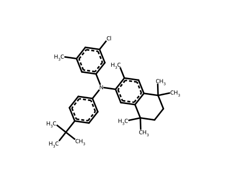 Cc1cc(Cl)cc(N(c2ccc(C(C)(C)C)cc2)c2cc3c(cc2C)C(C)(C)CCC3(C)C)c1